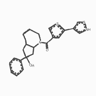 O=C(c1csc(-c2cn[nH]c2)c1)N1CCCC2CC(O)(c3ccccc3)CC21